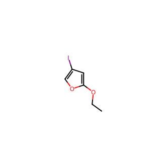 CCOc1cc(I)co1